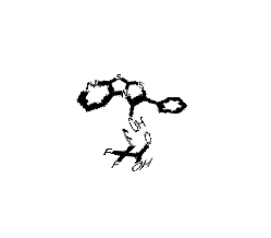 O=C(O)C(F)(F)F.OC1=C(c2ccccc2)SC2Sc3ncccc3N12